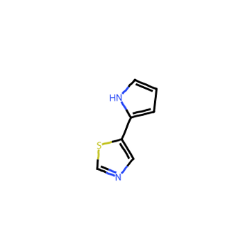 c1c[nH]c(-c2cncs2)c1